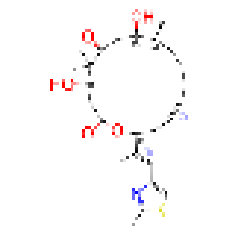 C/C(=C\c1csc(C)n1)[C@@H]1C/C=C\CCC[C@H](C)[C@H](O)CC(=O)C(C)(C)[C@@H](O)CC(=O)O1